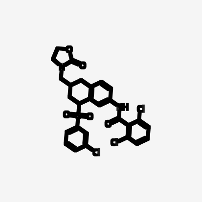 O=C(Nc1ccc2c(c1)C(S(=O)(=O)c1cccc(Cl)c1)CC(CN1CCOC1=O)C2)c1c(Cl)cccc1Cl